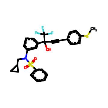 CSc1ccc(C#CC(O)(c2cccc(N(CC3CC3)S(=O)(=O)c3ccccc3)c2)C(F)(F)F)cc1